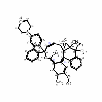 CCOC1=CC2=C3\c4ccccc4C(C)(C)C(C)(C)[C@H]3C/C=C\C(c3ccccc3)(c3ccc(N4CCOCC4)cc3)O\C(C)=C\2CC1C